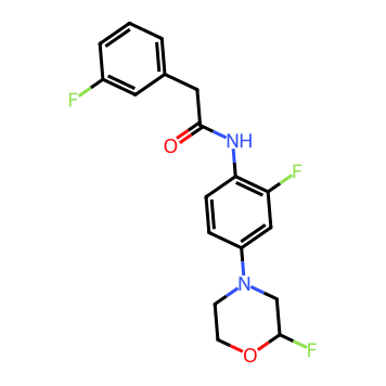 O=C(Cc1cccc(F)c1)Nc1ccc(N2CCOC(F)C2)cc1F